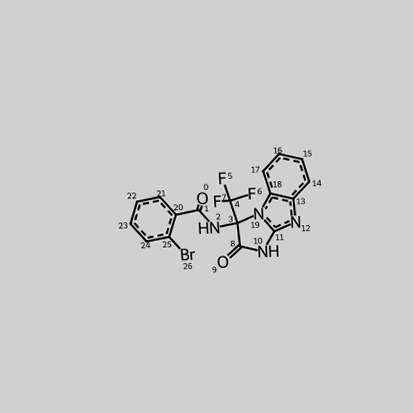 O=C(NC1(C(F)(F)F)C(=O)Nc2nc3ccccc3n21)c1ccccc1Br